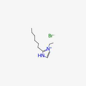 CCCCCCc1[nH]cc[n+]1CC.[Br-]